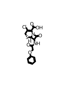 O=C(COc1ccccc1)NC1C(=O)N2C(C(=O)O)=C(Cl)CS[C@H]12